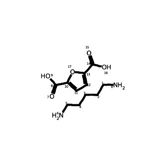 NCCCCCN.O=C(O)c1ccc(C(=O)O)o1